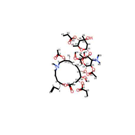 C=CC[C@@H]1CCCN(C)C[C@H](OC(C)=O)[C@H](C)C[C@H](CC(OC)OC)[C@H](O[C@@H]2OC(C)[C@@H](O[C@H]3CC(C)(O)[C@@H](OC(=O)CC)C(C)O3)C(N(C)C)C2OC(C)=O)[C@@H](OC)[C@H](OC(=O)CC)CC(=O)O1